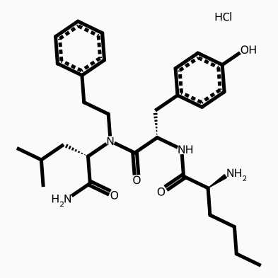 CCCC[C@H](N)C(=O)N[C@@H](Cc1ccc(O)cc1)C(=O)N(CCc1ccccc1)[C@@H](CC(C)C)C(N)=O.Cl